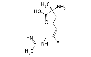 CC(=N)NC/C(F)=C\CC[C@@](C)(N)C(=O)O